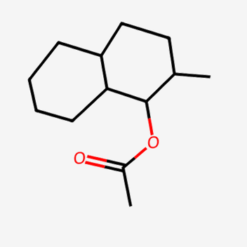 CC(=O)OC1C(C)CCC2CCCCC21